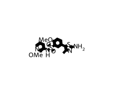 COc1ccc(-c2sc(N)nc2C)cc1S(=O)(=O)Nc1cccnc1OC